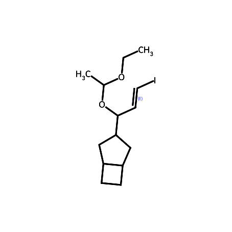 CCOC(C)OC(/C=C/I)C1CC2CCC2C1